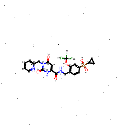 O=C(NCc1ccc(S(=O)(=O)C2CC2)cc1OC(F)(F)F)c1cc(=O)n(Cc2ccccn2)c(=O)[nH]1